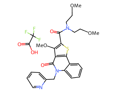 COCCN(CCOC)C(=O)c1sc2c(c1OC)c(=O)n(Cc1ccccn1)c1ccccc21.O=C(O)C(F)(F)F